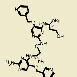 CCCC[C@@H](CCO)Nc1nc(NOC[C@H](CCC)Nc2nc(N)ncc2OCc2cccnc2)ncc1OCc1cccnc1